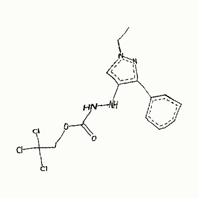 CCn1cc(NNC(=O)OCC(Cl)(Cl)Cl)c(-c2ccccc2)n1